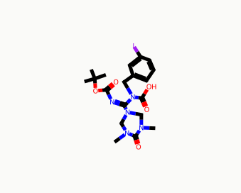 CN1CN(/C(=N/C(=O)OC(C)(C)C)N(Cc2cccc(I)c2)C(=O)O)CN(C)C1=O